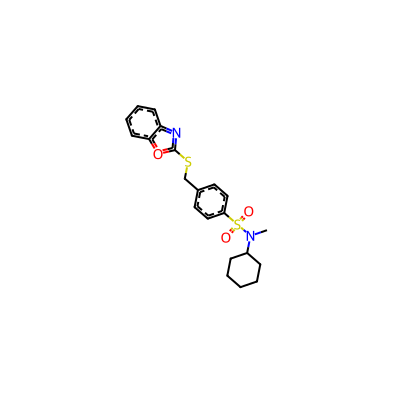 CN(C1CCCCC1)S(=O)(=O)c1ccc(CSc2nc3ccccc3o2)cc1